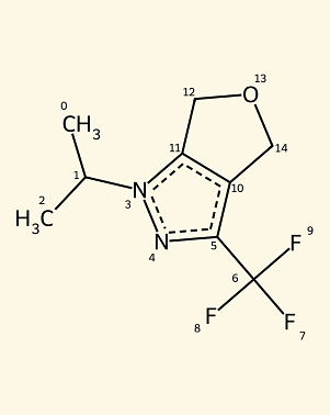 CC(C)n1nc(C(F)(F)F)c2c1COC2